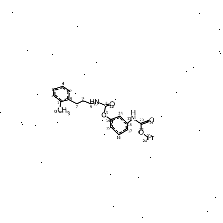 Cc1ccccc1CCCNC(=O)Oc1cccc(NC(=O)OC(C)C)c1